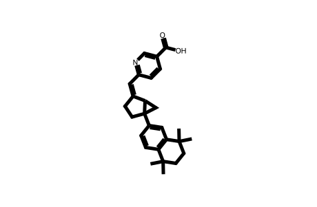 CC1(C)CCC(C)(C)c2cc(C34CCC(=Cc5ccc(C(=O)O)cn5)C3C4)ccc21